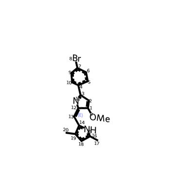 COC1=CC(c2ccc(Br)cc2)=N/C1=C/c1[nH]c(C)cc1C